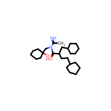 CC(=N)N(CC1(O)CCCCC1)C(=O)C(CCC1CCCCC1)CC1CCCCC1